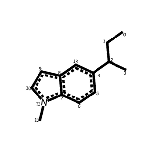 CCC(C)c1ccc2c(ccn2C)c1